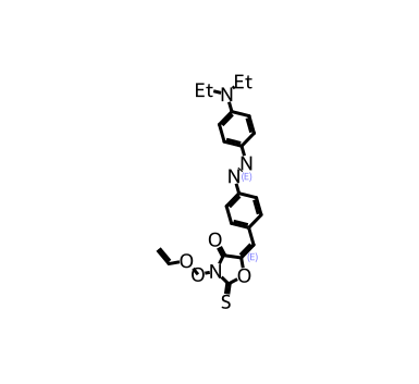 C=COON1C(=O)/C(=C\c2ccc(/N=N/c3ccc(N(CC)CC)cc3)cc2)OC1=S